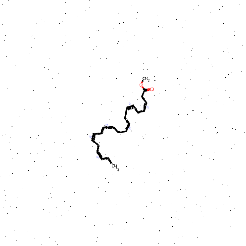 CC/C=C\C/C=C\C/C=C\C/C=C\C/C=C\C/C=C\CC(=O)OC